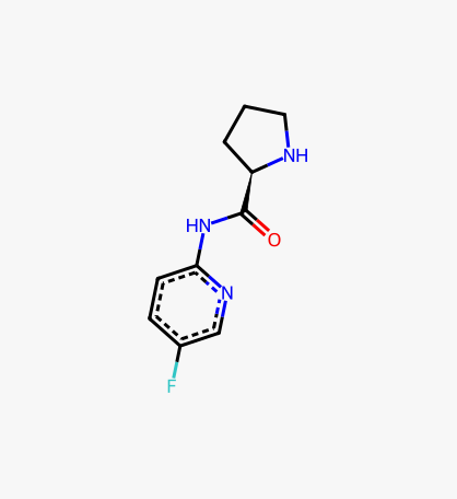 O=C(Nc1ccc(F)cn1)[C@H]1CCCN1